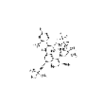 Cc1nc(F)ccc1C(Nc1cc(C#CC(C)(C)O)c2ncc(C#N)c(NCC(C)(C)C)c2c1)C1=CN(C2(C(F)(F)F)CC2)NN1